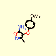 COc1ccc(Oc2c(C)noc2N)cc1